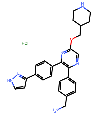 Cl.NCc1ccc(-c2ncc(OCC3CCNCC3)nc2-c2ccc(-c3cc[nH]n3)cc2)cc1